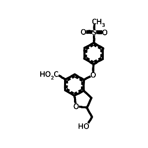 CS(=O)(=O)c1ccc(Oc2cc(C(=O)O)cc3c2CC(CO)O3)cc1